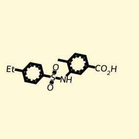 CCc1ccc(S(=O)(=O)Nc2cc(C(=O)O)ccc2C)cc1